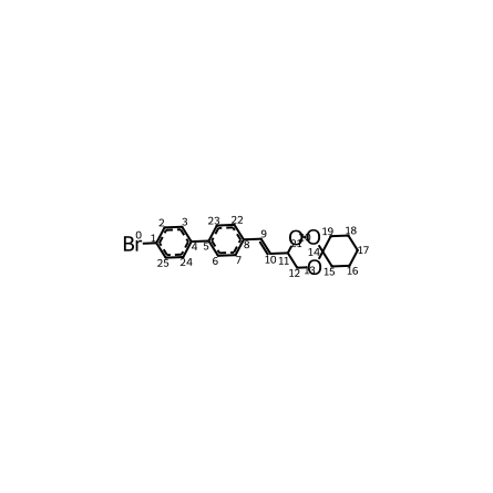 Brc1ccc(-c2ccc(C=CC3COC4(CCCCC4)OO3)cc2)cc1